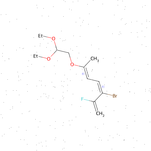 C=C(F)/C(Br)=C\C=C(/C)OCC(OCC)OCC